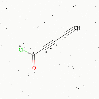 C#CC#CC(=O)Cl